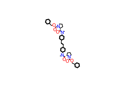 CN(C(=O)[C@@H]1CCCN1C(=O)OCc1ccccc1)c1ccc(/C=C/c2ccc(N(C)C(=O)[C@@H]3CCCN3C(=O)OCc3ccccc3)cc2)cc1